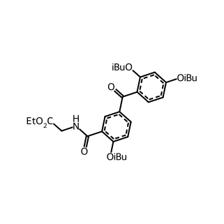 CCOC(=O)CNC(=O)c1cc(C(=O)c2ccc(OCC(C)C)cc2OCC(C)C)ccc1OCC(C)C